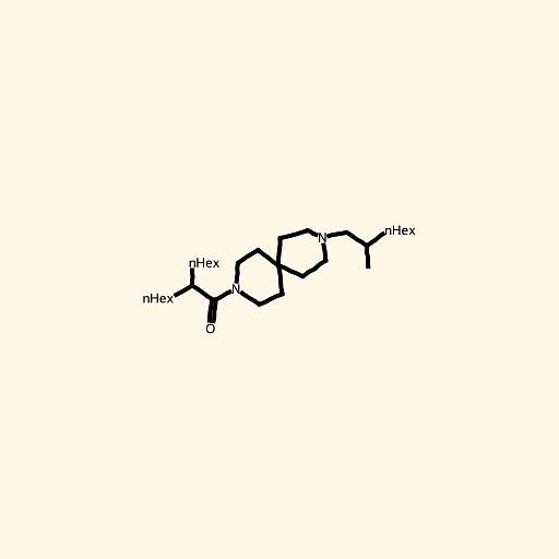 CCCCCCC(C)CN1CCC2(CC1)CCN(C(=O)C(CCCCCC)CCCCCC)CC2